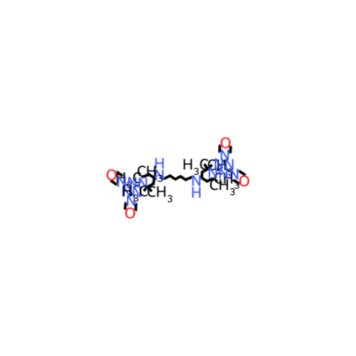 CC1(C)CC(NCCCCCCNC2CC(C)(C)N(c3nc(N4CCOCC4)nc(N4CCOCC4)n3)C(C)(C)C2)CC(C)(C)N1c1nc(N2CCOCC2)nc(N2CCOCC2)n1